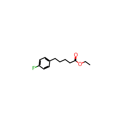 CCOC(=O)CCCCc1ccc(F)cc1